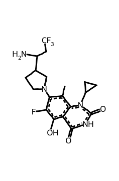 Cc1c(N2CCC(C(N)CC(F)(F)F)C2)c(F)c(O)c2c(=O)[nH]c(=O)n(C3CC3)c12